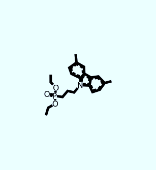 CCOP(=O)(CCCn1c2ccc(C)cc2c2cc(C)ccc21)OCC